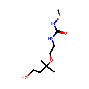 CONC(=O)NCCOC(C)(C)CCO